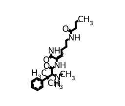 CCCC(=O)NCCCC=C(NC(=O)C(NC)C(C)(C)c1ccccc1)C(N)=O